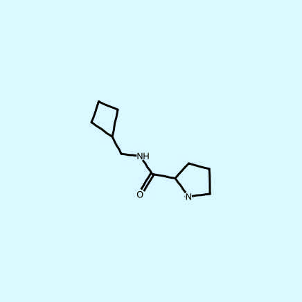 O=C(NCC1CCC1)C1CCC[N]1